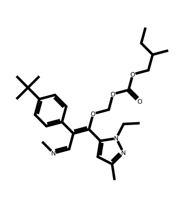 CCC(C)COC(=O)OCO/C(=C(/C=N\C)c1ccc(C(C)(C)C)cc1)c1cc(C)nn1CC